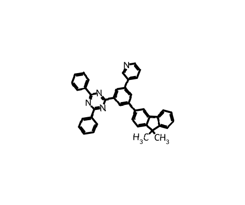 CC1(C)c2ccccc2-c2cc(-c3cc(-c4cccnc4)cc(-c4nc(-c5ccccc5)nc(-c5ccccc5)n4)c3)ccc21